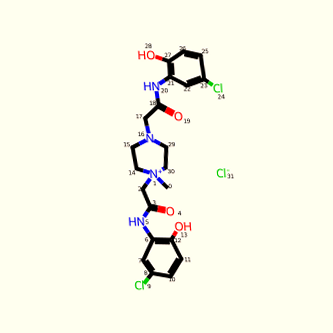 C[N+]1(CC(=O)Nc2cc(Cl)ccc2O)CCN(CC(=O)Nc2cc(Cl)ccc2O)CC1.[Cl-]